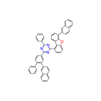 c1ccc(-c2nc(-c3ccc(-c4ccccc4)c(-c4ccc5ccccc5c4)c3)nc(-c3cccc4oc5c(-c6ccc7ccccc7c6)cccc5c34)n2)cc1